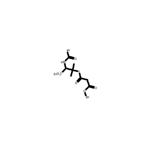 CCOC(=O)C(NC(=O)C(C)C)C(C)(C)SC(=O)CC(=O)OC(C)C